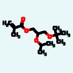 C=C(C)C(=O)OCC(COC(C)(C)C)OC(C)C